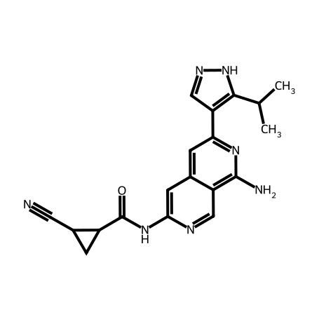 CC(C)c1[nH]ncc1-c1cc2cc(NC(=O)C3CC3C#N)ncc2c(N)n1